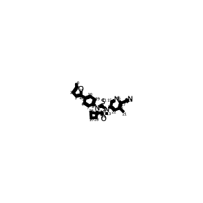 Cc1ccc(-c2ccc(N(C(=S)N(C)c3cnc(C#N)c(C)c3)C3(C=O)CCC3)cc2)o1